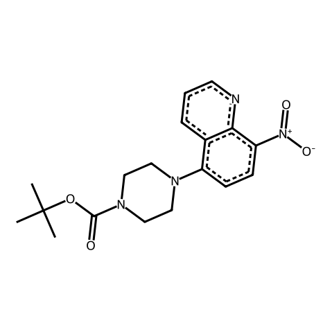 CC(C)(C)OC(=O)N1CCN(c2ccc([N+](=O)[O-])c3ncccc23)CC1